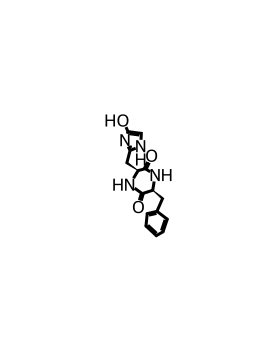 O=C1N[C@@H](Cc2nc(O)c[nH]2)C(=O)N[C@H]1Cc1ccccc1